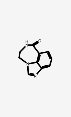 O=C1NCCn2cnc3cccc1c32